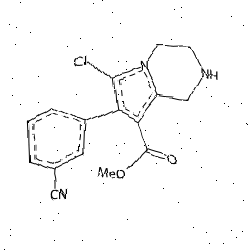 COC(=O)c1c(-c2cccc(C#N)c2)c(Cl)n2c1CNCC2